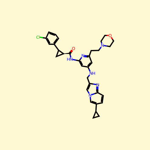 O=C(Nc1cc(NCc2cn3cc(C4CC4)ccc3n2)cc(CCN2CCOCC2)n1)[C@H]1CC1c1cccc(Cl)c1